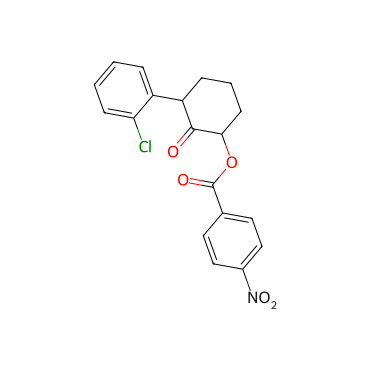 O=C(OC1CCCC(c2ccccc2Cl)C1=O)c1ccc([N+](=O)[O-])cc1